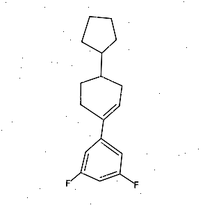 Fc1cc(F)cc(C2=CCC(C3CCCC3)CC2)c1